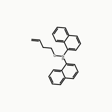 C=CCCO[SiH](c1cccc2ccccc12)c1cccc2ccccc12